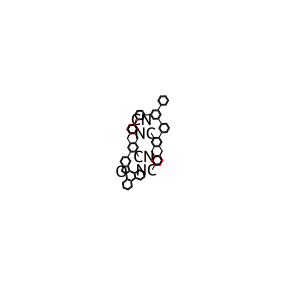 N#Cc1ccc2c(c1)C1c3ccccc3C2c2cc(-c3cccc(-c4cc(-c5ccccc5)cc(-c5cccc(-c6ccc7c(c6)C6c8cc(C#N)ccc8C7c7cc(-c8ccc9oc%10c%11ccccc%11c%11ccccc%11c%10c9c8)c(C#N)cc76)c5)c4)c3)c(C#N)cc21